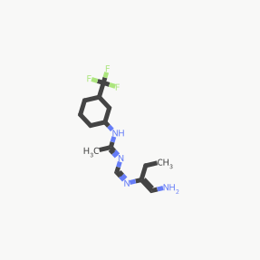 CCC(=C\N)/N=C\N=C(/C)NC1CCCC(C(F)(F)F)C1